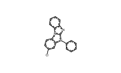 Clc1ccc2c(c1)n(-c1ccccc1)c1nc3ccccc3n21